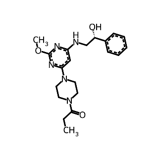 CCC(=O)N1CCN(c2cc(NC[C@H](O)c3ccccc3)nc(OC)n2)CC1